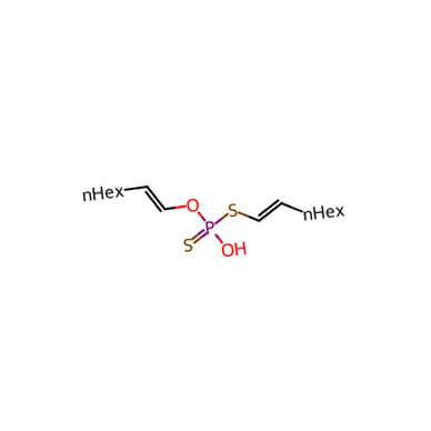 CCCCCCC=COP(O)(=S)SC=CCCCCCC